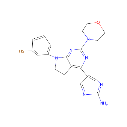 Nc1ncc(-c2nc(N3CCOCC3)nc3c2CCN3c2cccc(S)c2)cn1